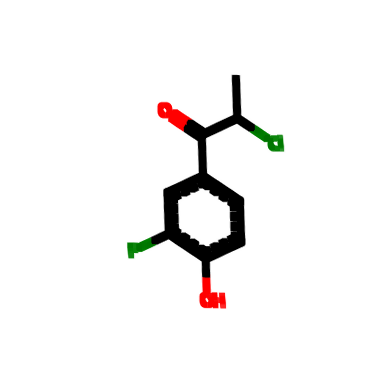 CC(Cl)C(=O)c1ccc(O)c(F)c1